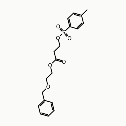 Cc1ccc(S(=O)(=O)OCCC(=O)OCCOCc2ccccc2)cc1